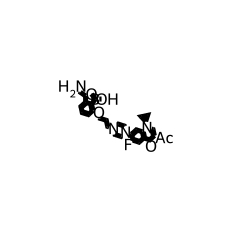 CC(=O)c1cn(C2CC2)c2cc(N3CCN(CCCOc4cccc5c4B(O)OC5CN)CC3)c(F)cc2c1=O